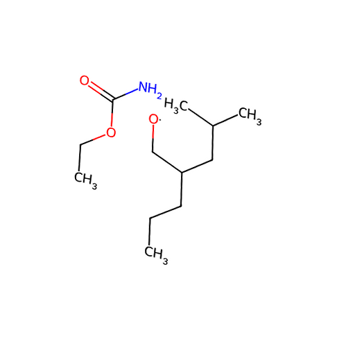 CCCC(C[O])CC(C)C.CCOC(N)=O